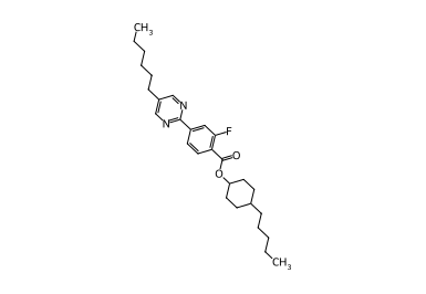 CCCCCCc1cnc(-c2ccc(C(=O)OC3CCC(CCCCC)CC3)c(F)c2)nc1